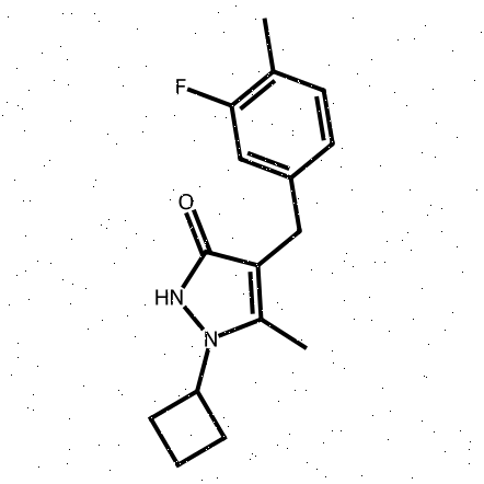 Cc1ccc(Cc2c(C)n(C3CCC3)[nH]c2=O)cc1F